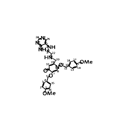 COc1ccc(COc2cn(OCc3ccc(OC)cc3)c(CNCCNc3cncnc3N)cc2=O)cc1